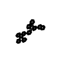 c1ccc(-c2c(-c3ccccc3)c3cc(-c4cccc(N(c5ccc(-c6ccc7ccccc7c6)cc5)c5cccc6c5sc5ccccc56)c4)ccc3c3ccccc23)cc1